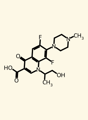 CC(CO)n1cc(C(=O)O)c(=O)c2cc(F)c(N3CCN(C)CC3)c(F)c21